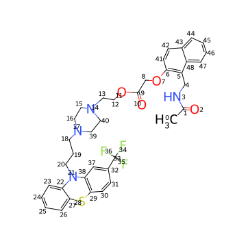 CC(=O)NCc1c(OCC(=O)OCCN2CCN(CCCN3c4ccccc4Sc4ccc(C(F)(F)F)cc43)CC2)ccc2ccccc12